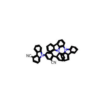 N#Cc1cc(-n2c3ccccc3c3c(C#N)cccc32)ccc1-c1ccccc1-n1c2ccccc2c2cccc(-n3c4ccccc4c4ccccc43)c21